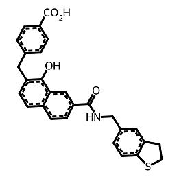 O=C(O)c1ccc(Cc2ccc3ccc(C(=O)NCc4ccc5c(c4)CCS5)cc3c2O)cc1